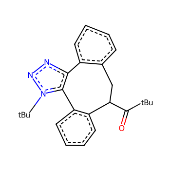 CC(C)(C)C(=O)C1Cc2ccccc2-c2nnn(C(C)(C)C)c2-c2ccccc21